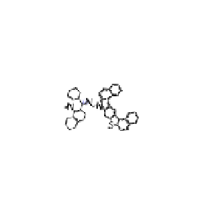 C=NC1=C(/C(=N\Cn2c3cc4sc5ccc6ccccc6c5c4cc3c3c4ccccc4ccc32)C2=CCCC=C2)CCC2=C1C=CCC2